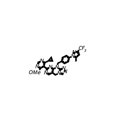 COc1ncnc(C2CC2)c1-c1ncc2c(n1)N(Cc1ccc(-n3nc(C(F)(F)F)cc3C)cc1)c1nncn1C2